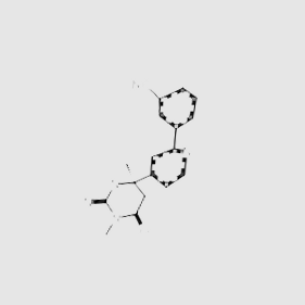 CN1C(=N)N[C@](C)(c2ccnc(-c3cccc(C#N)c3)c2)CC1=O